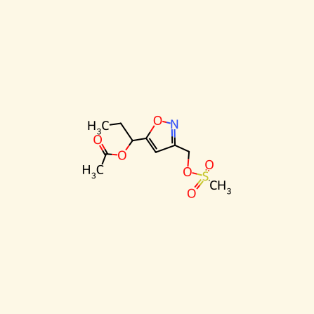 CCC(OC(C)=O)c1cc(COS(C)(=O)=O)no1